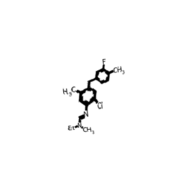 CCN(C)C=Nc1cc(C)c(Cc2ccc(C)c(F)c2)cc1Cl